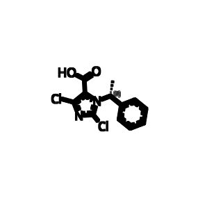 C[C@H](c1ccccc1)n1c(Cl)nc(Cl)c1C(=O)O